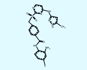 Cc1cc(Nc2ccnc(S(=O)(=O)Cc3ccc(C(=O)Nc4ccc(F)cc4N)cc3)n2)n[nH]1